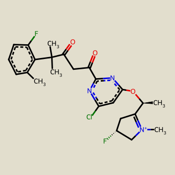 Cc1cccc(F)c1C(C)(C)C(=O)CC(=O)c1nc(Cl)cc(O[C@@H](C)C2=[N+](C)C[C@H](F)C2)n1